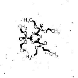 CCCP(=O)(OCC)c1nc(P(=O)(OCC)OCC)nc(P(=O)(OCC)OCC)n1